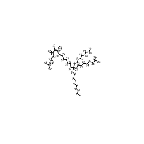 CCCCCCCCCCC(CCCCCCCCC)(CCCCCCCC(C)=O)CCCCCCCC(=O)C(C)N(C)CCOC(C)C